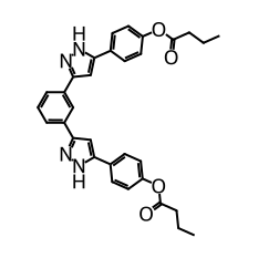 CCCC(=O)Oc1ccc(-c2cc(-c3cccc(-c4cc(-c5ccc(OC(=O)CCC)cc5)[nH]n4)c3)n[nH]2)cc1